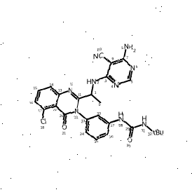 CC(Nc1ncnc(N)c1C#N)c1nc2cccc(Cl)c2c(=O)n1-c1cccc(NC(=O)NC(C)(C)C)c1